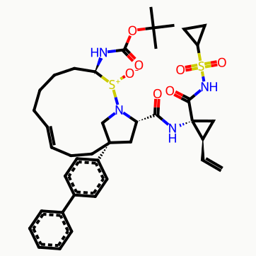 C=C[C@@H]1C[C@]1(NC(=O)[C@@H]1C[C@@]2(c3ccc(-c4ccccc4)cc3)CC/C=C/CCCC[C@@H](NC(=O)OC(C)(C)C)[S+]([O-])N1C2)C(=O)NS(=O)(=O)C1CC1